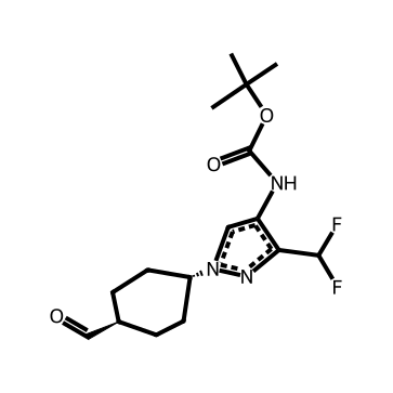 CC(C)(C)OC(=O)Nc1cn([C@H]2CC[C@H](C=O)CC2)nc1C(F)F